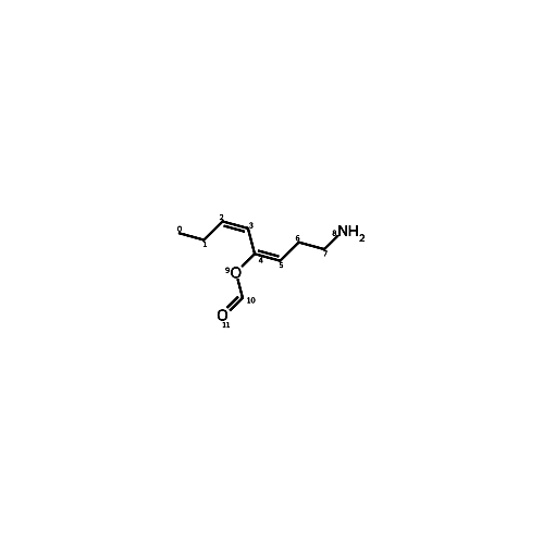 CC/C=C\C(=C/CCN)OC=O